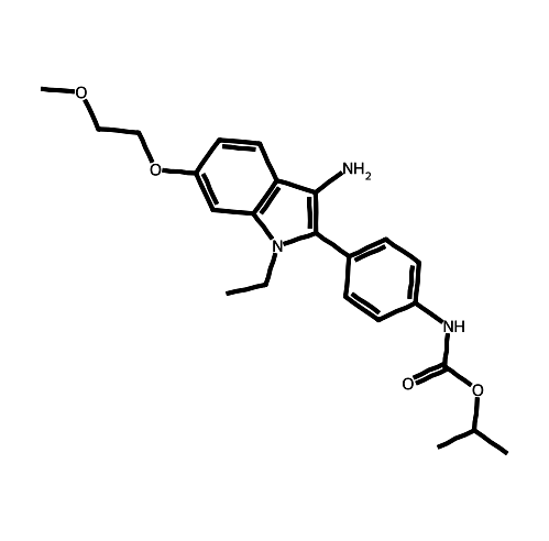 CCn1c(-c2ccc(NC(=O)OC(C)C)cc2)c(N)c2ccc(OCCOC)cc21